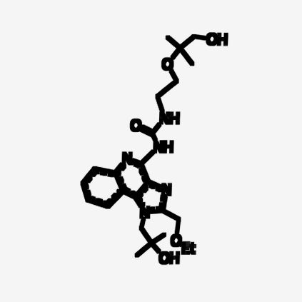 CCOCc1nc2c(NC(=O)NCCOC(C)(C)CO)nc3ccccc3c2n1CC(C)(C)O